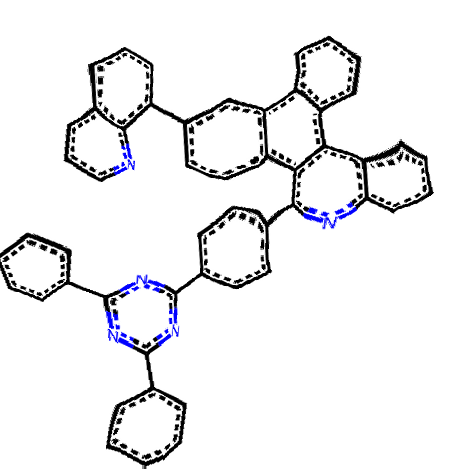 c1ccc(-c2nc(-c3ccccc3)nc(-c3ccc(-c4nc5ccccc5c5c6ccccc6c6cc(-c7cccc8cccnc78)ccc6c45)cc3)n2)cc1